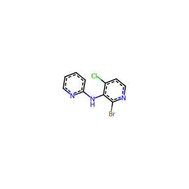 Clc1ccnc(Br)c1Nc1ccccn1